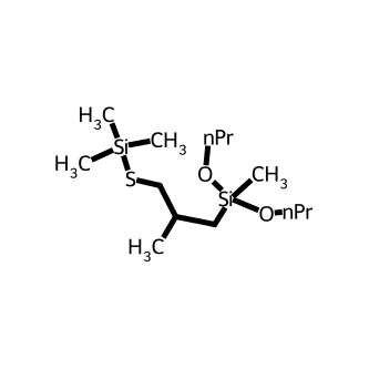 CCCO[Si](C)(CC(C)CS[Si](C)(C)C)OCCC